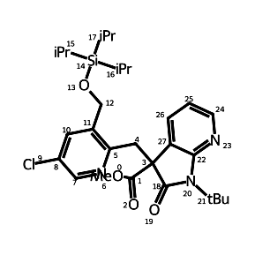 COC(=O)C1(Cc2ncc(Cl)cc2CO[Si](C(C)C)(C(C)C)C(C)C)C(=O)N(C(C)(C)C)c2ncccc21